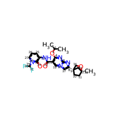 CC(C)Oc1nc2nc([C@@]34CC[C@@](C)(C3)OC4)cn2cc1C(=O)Nc1cccn(C(F)F)c1=O